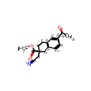 COC(=O)C1(CC#N)CCc2cc(C(C)=O)ccc2C1